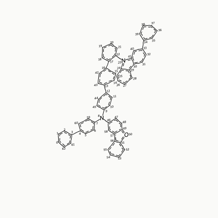 c1ccc(-c2ccc(N(c3ccc(-c4ccc(-c5ccccc5-n5c6ccccc6c6ccc(-c7ccccc7)cc65)cc4)cc3)c3ccc4oc5ccccc5c4c3)cc2)cc1